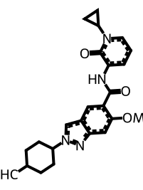 COc1cc2nn(C3CCC(C=O)CC3)cc2cc1C(=O)Nc1cccn(C2CC2)c1=O